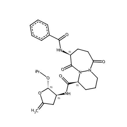 C=C1C[C@H](NC(=O)[C@@H]2CCCN3C(=O)CC[C@H](NC(=O)c4ccccc4)C(=O)N23)[C@@H](OC(C)C)O1